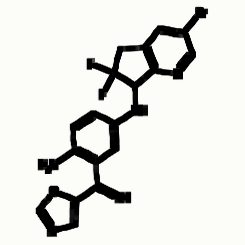 N=C(c1cnco1)c1cc(NC2c3ncc(Br)cc3CC2(F)F)ccc1N